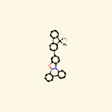 CC1(C)c2ccccc2-c2ccc(-c3ccc4c(c3)OB3c5ccccc5-c5ccccc5N34)cc21